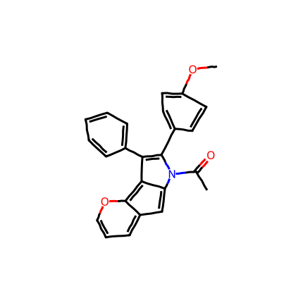 COc1ccc(-c2c(-c3ccccc3)c3c4occcc-4cc3n2C(C)=O)cc1